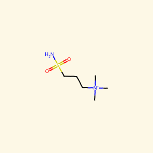 C[N+](C)(C)CCCS(N)(=O)=O